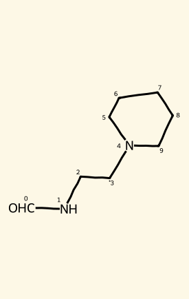 O=CNC[CH]N1CCCCC1